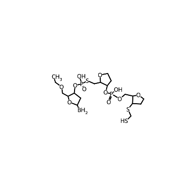 BC1CC(OP(=O)(O)SCC2OCCC2OP(=O)(O)OCC2OCCC2SCS)C(COCC)O1